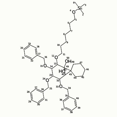 C[Si](C)(C)OCCCCCCCOC1C(OCc2ccccc2)C(OCc2ccccc2)C(OCc2ccccc2)C2(O)C3(CCCCC3)C12O